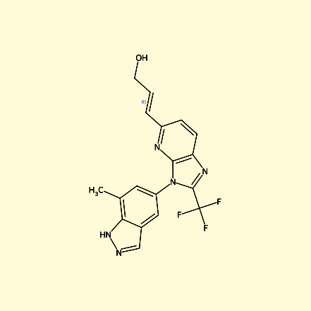 Cc1cc(-n2c(C(F)(F)F)nc3ccc(/C=C/CO)nc32)cc2cn[nH]c12